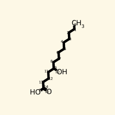 CCCCCCCCCC(O)CCCC(=O)O